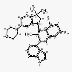 Cc1c(-c2cccc3[nH]ccc23)nc2cc(F)cc(F)c2c1N1CC(C)(C)c2ncc(N3CCOCC3)cc21